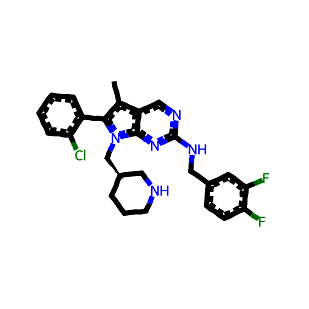 Cc1c(-c2ccccc2Cl)n(C[C@@H]2CCCNC2)c2nc(NCc3ccc(F)c(F)c3)ncc12